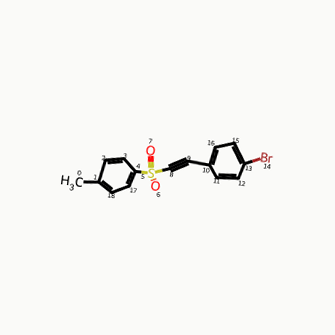 Cc1ccc(S(=O)(=O)C#Cc2ccc(Br)cc2)cc1